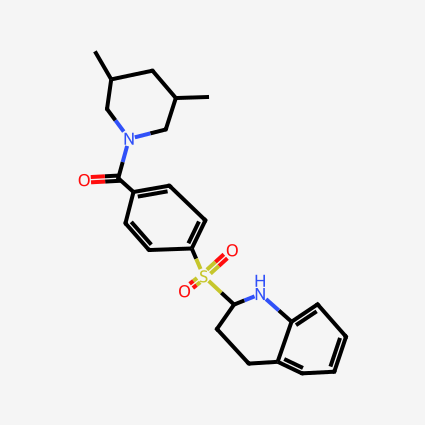 CC1CC(C)CN(C(=O)c2ccc(S(=O)(=O)C3CCc4ccccc4N3)cc2)C1